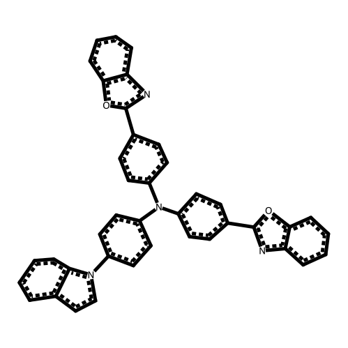 c1ccc2c(c1)ccn2-c1ccc(N(c2ccc(-c3nc4ccccc4o3)cc2)c2ccc(-c3nc4ccccc4o3)cc2)cc1